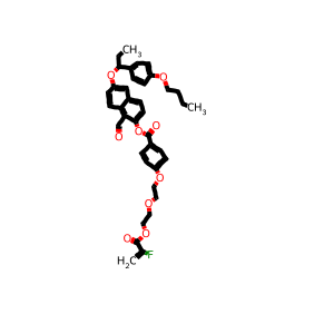 C=C(F)C(=O)OCCOCCOc1ccc(C(=O)Oc2ccc3cc(OC(CC)c4ccc(OCCCC)cc4)ccc3c2C=O)cc1